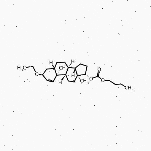 CCCCOC(=O)O[C@H]1CC[C@H]2[C@@H]3CC[C@H]4C[C@H](OCC)C=C[C@]4(C)[C@H]3CC[C@]12C